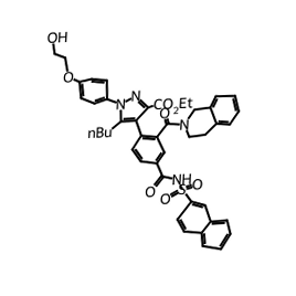 CCCCc1c(-c2ccc(C(=O)NS(=O)(=O)c3ccc4ccccc4c3)cc2C(=O)N2CCc3ccccc3C2)c(C(=O)OCC)nn1-c1ccc(OCCO)cc1